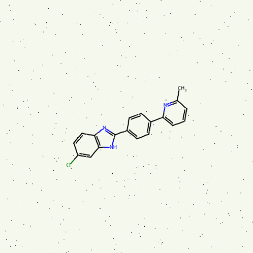 Cc1cccc(-c2ccc(-c3nc4ccc(Cl)cc4[nH]3)cc2)n1